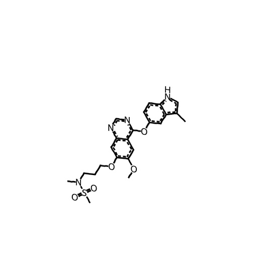 COc1cc2c(Oc3ccc4[nH]cc(C)c4c3)ncnc2cc1OCCCN(C)S(C)(=O)=O